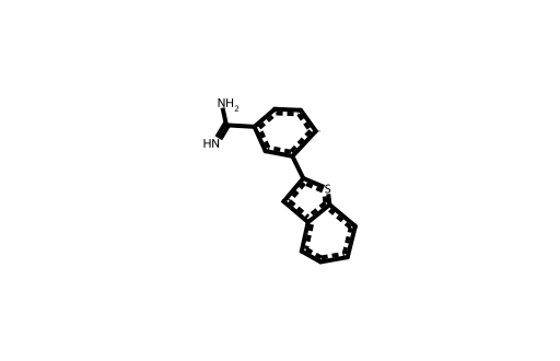 N=C(N)c1cc[c]c(-c2cc3ccccc3s2)c1